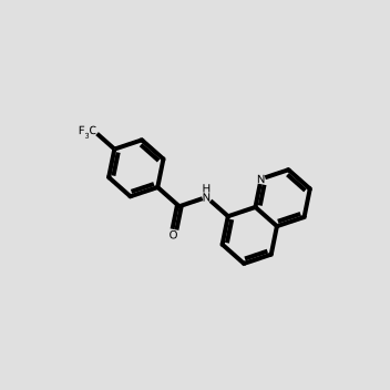 O=C(Nc1cccc2cccnc12)c1ccc(C(F)(F)F)cc1